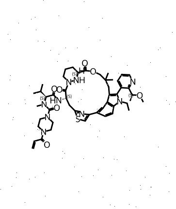 C=CC(=O)N1CCN(C(=O)N(C)[C@H](C(=O)N[C@H]2Cc3nc(cs3)-c3ccc4c(c3)c(c(-c3cccnc3[C@H](C)OC)n4CC)CC(C)(C)COC(=O)[C@@H]3CCCN(N3)C2=O)C(C)C)CC1